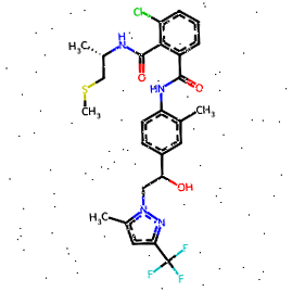 CSC[C@H](C)NC(=O)c1c(Cl)cccc1C(=O)Nc1ccc(C(O)Cn2nc(C(F)(F)F)cc2C)cc1C